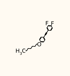 CCCCCCCOc1ccc(C#Cc2ccc(F)c(F)c2)cc1